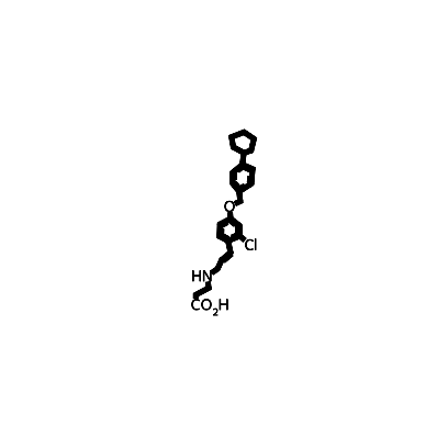 O=C(O)CCNCC=Cc1ccc(OCc2ccc(C3CCCCC3)cc2)cc1Cl